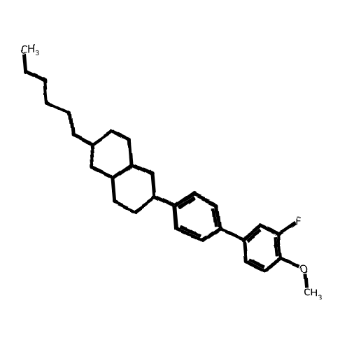 CCCCCCC1CCC2CC(c3ccc(-c4ccc(OC)c(F)c4)cc3)CCC2C1